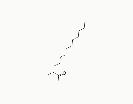 CCCCCCCCCCCC(C)C(C)=O